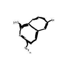 Nc1cc2cc(Br)ccc2c(O)n1